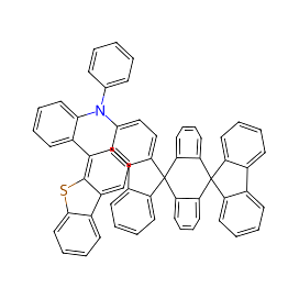 c1ccc(N(c2ccc3c(c2)-c2ccccc2C32c3ccccc3C3(c4ccccc4-c4ccccc43)c3ccccc32)c2ccccc2-c2cccc3c2sc2ccccc23)cc1